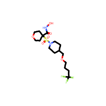 O=C(NO)C1(S(=O)(=O)N2CCC(COCCCC(F)(F)F)CC2)CCOCC1